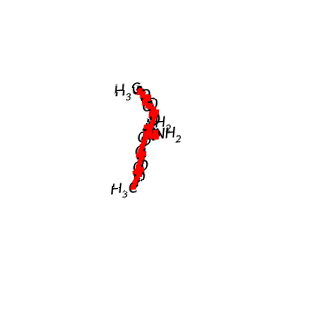 CCCCCOc1ccc(OC(=O)C=Cc2ccc(OCCCCOC(=O)C(Cc3ccc(N)cc3)(Cc3ccc(N)cc3)C(=O)OCCCCOc3ccc(C=CC(=O)Oc4ccc(OCCCCC)cc4)cc3)cc2)cc1